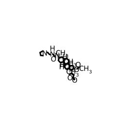 CC(=O)O[C@H]1C[C@]2(O)[C@@H]3CC[C@@H]4C[C@@H](N(C)C(=O)NCCN5CCCC5)CC[C@]4(C)[C@H]3CC[C@]2(C)[C@H]1C1=CC(=O)OC1